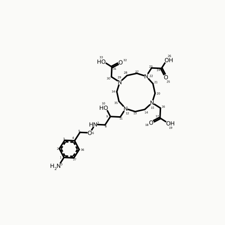 Nc1ccc(CONCC(O)CN2CCN(CC(=O)O)CCN(CC(=O)O)CCN(CC(=O)O)CC2)cc1